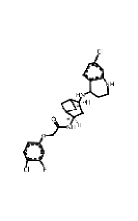 O=C(COc1ccc(Cl)c(F)c1)N[C@@H]1C[C@H](NC2CCNc3cc(Cl)ccc32)C2CC1C2